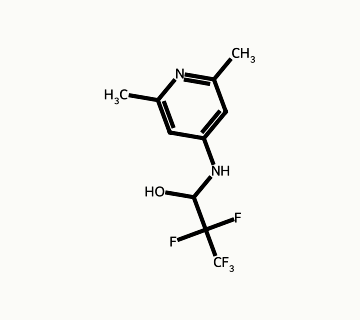 Cc1cc(NC(O)C(F)(F)C(F)(F)F)cc(C)n1